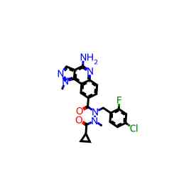 CN(C(=O)C1CC1)N(Cc1ccc(Cl)cc1F)C(=O)c1ccc2nc(N)c3cnn(C)c3c2c1